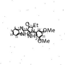 CCC1C(=O)C(c2nc3ccccc3[nH]2)=C(N)N1c1cc(OC)cc(OC)c1